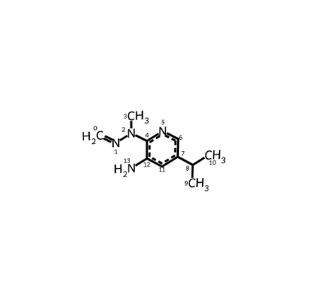 C=NN(C)c1ncc(C(C)C)cc1N